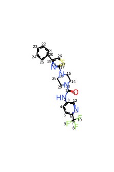 O=C(Nc1ccc(C(F)(F)F)nc1)N1CCN(c2nc(-c3ccccc3)cs2)CC1